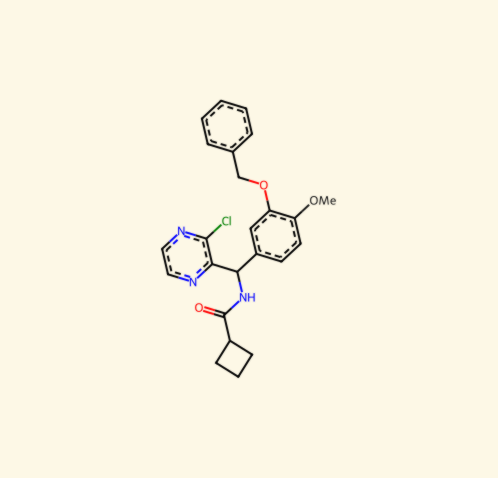 COc1ccc(C(NC(=O)C2CCC2)c2nccnc2Cl)cc1OCc1ccccc1